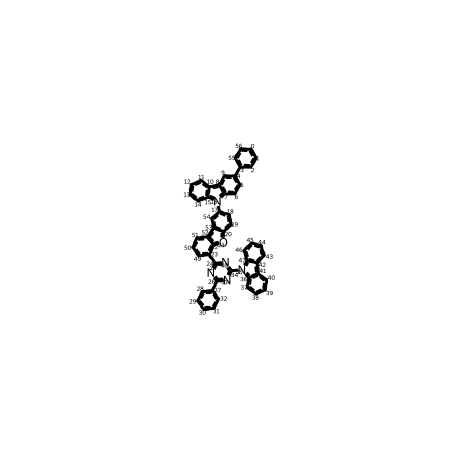 c1ccc(-c2ccc3c(c2)c2ccccc2n3-c2ccc3oc4c(-c5nc(-c6ccccc6)nc(-n6c7ccccc7c7ccccc76)n5)cccc4c3c2)cc1